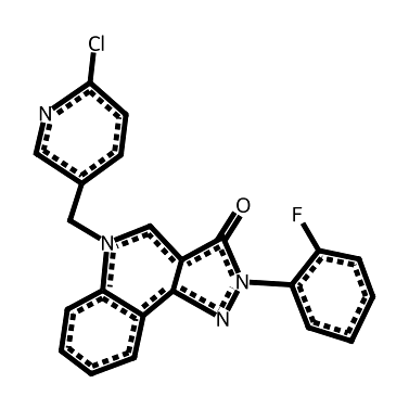 O=c1c2cn(Cc3ccc(Cl)nc3)c3ccccc3c-2nn1-c1ccccc1F